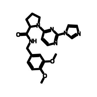 COc1ccc(CNC(=O)C2CCCN2c2ccnc(-n3ccnc3)n2)cc1OC